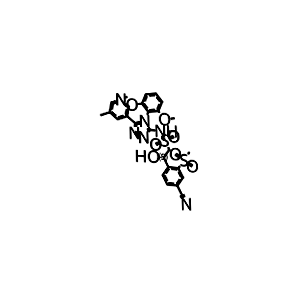 COc1cccc(OC)c1-n1c(NS(=O)(=O)C[C@@H](O)c2ccc(C#N)cc2S(C)(=O)=O)nnc1-c1cncc(C)c1